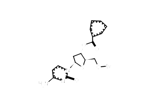 Nc1ccn([C@H]2C[C@H](OC(=O)c3ccccc3)[C@@H](COBr)S2)c(=O)n1